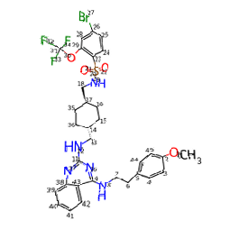 COc1ccc(CCNc2nc(NC[C@H]3CC[C@H](CNS(=O)(=O)c4ccc(Br)cc4OC(F)(F)F)CC3)nc3ccccc23)cc1